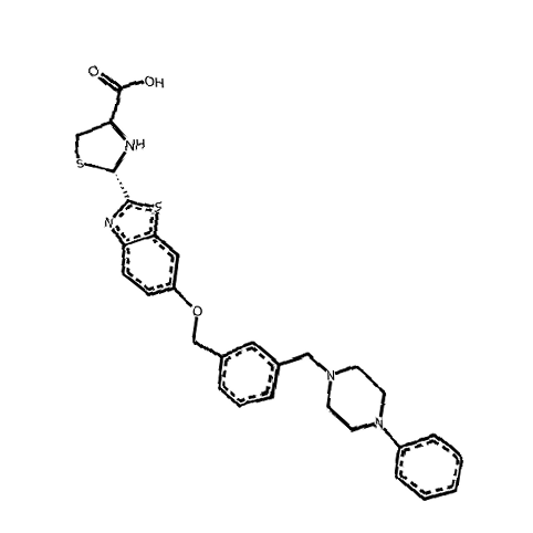 O=C(O)C1CS[C@@H](c2nc3ccc(OCc4cccc(CN5CCN(c6ccccc6)CC5)c4)cc3s2)N1